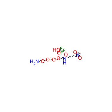 NCCOCCOCCOCCOCCNC(=O)CCCCCN1C(=O)C=CC1=O.O=C(O)C(F)(F)F